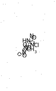 C[C@@H]1CN(C(=O)c2ccccc2)CCN1C(=O)C(=O)C1CNc2c(-c3cnco3)cc(Cl)nc21